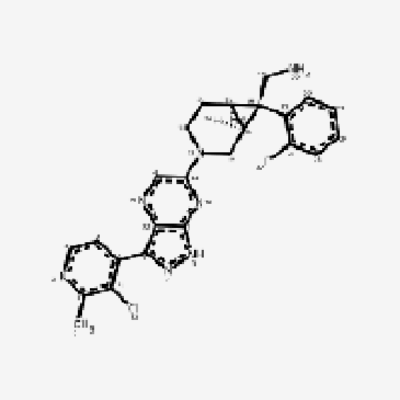 Cc1nccc(-c2n[nH]c3nc(N4CC[C@@H]5[C@H](C4)[C@@]5(CN)c4ccccc4F)cnc23)c1Cl